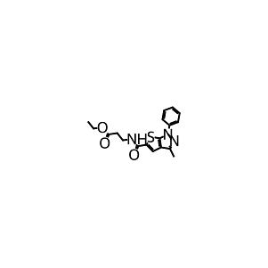 CCOC(=O)CCNC(=O)c1cc2c(C)nn(-c3ccccc3)c2s1